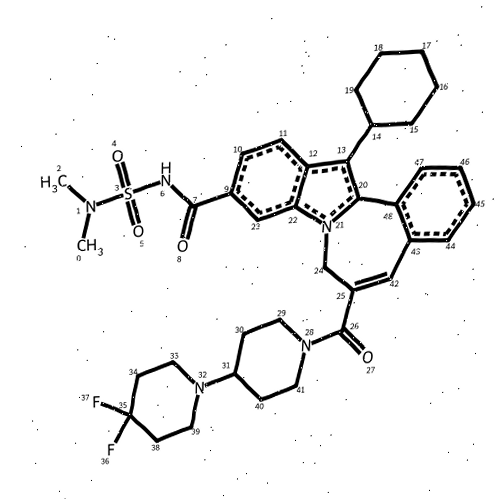 CN(C)S(=O)(=O)NC(=O)c1ccc2c(C3CCCCC3)c3n(c2c1)CC(C(=O)N1CCC(N2CCC(F)(F)CC2)CC1)=Cc1ccccc1-3